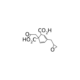 O=C(O)C1C=C(CC2CO2)C=CC1(CC1CO1)C(=O)O